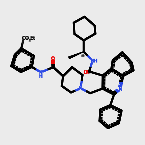 CCOC(=O)c1cccc(NC(=O)C2CCN(Cc3c(-c4ccccc4)nc4ccccc4c3C(=O)N[C@@H](C)C3CCCCC3)CC2)c1